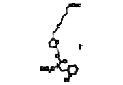 CCCCCCCCCCCCCCCCC[C@H]1CC[C@@H](COC(=O)N(Cc2cccc[n+]2CC)C(=O)OCC)O1.[I-]